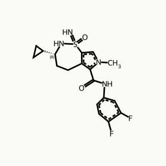 Cn1cc2c(c1C(=O)Nc1ccc(F)c(F)c1)CC[C@H](C1CC1)NS2(=N)=O